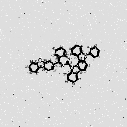 c1ccc(-n2c3ccccc3c3c2ccc2c4ccccc4n(-c4nc(-c5ccc6c(c5)oc5ccccc56)c5ccccc5n4)c23)cc1